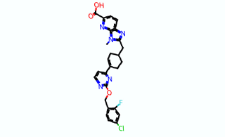 Cn1c(CC2CC=C(c3ccnc(OCc4ccc(Cl)cc4F)n3)CC2)nc2ccc(C(=O)O)nc21